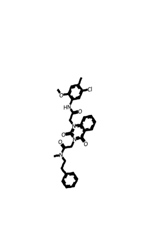 COc1cc(C)c(Cl)cc1NC(=O)Cn1c(=O)n(CC(=O)N(C)CCc2ccccc2)c(=O)c2ccccc21